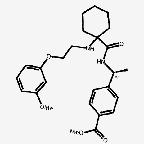 COC(=O)c1ccc([C@H](C)NC(=O)C2(NCCOc3cccc(OC)c3)CCCCC2)cc1